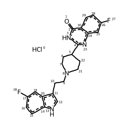 Cl.O=c1[nH]c(C2CCN(CCc3c[nH]c4ccc(F)cc34)CC2)nc2cc(F)ccc12